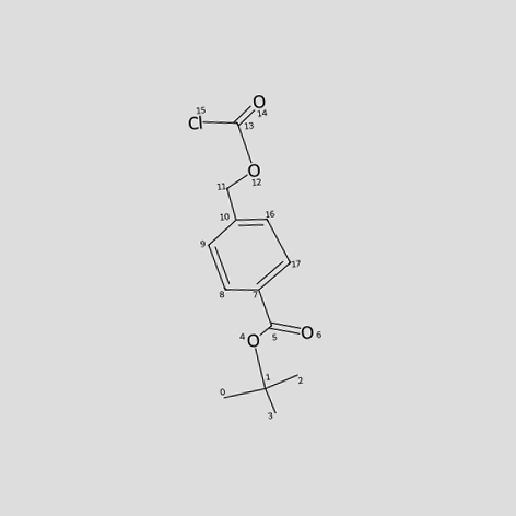 CC(C)(C)OC(=O)c1ccc(COC(=O)Cl)cc1